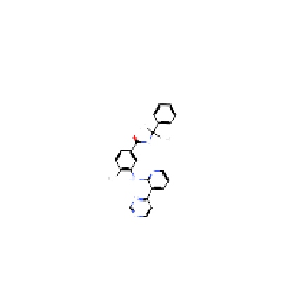 Cc1ccc(C(=O)NC(C)(C)c2ccccc2)cc1Nc1ncccc1-c1ccncn1